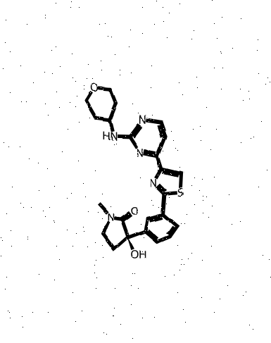 CN1CC[C@@](O)(c2cccc(-c3nc(-c4ccnc(NC5CCOCC5)n4)cs3)c2)C1=O